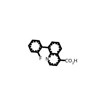 O=C(O)c1ccnc2c(-c3ccccc3F)cccc12